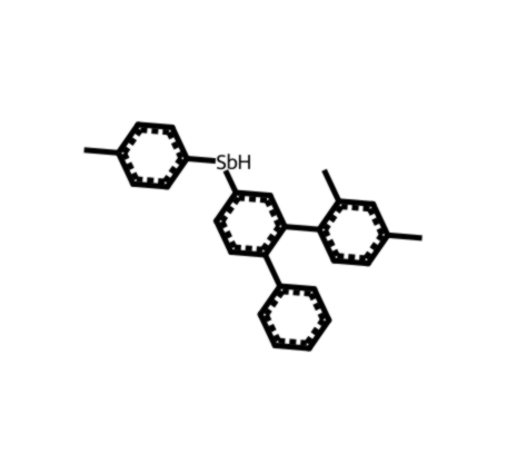 Cc1cc[c]([SbH][c]2ccc(-c3ccccc3)c(-c3ccc(C)cc3C)c2)cc1